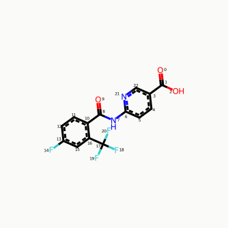 O=C(O)c1ccc(NC(=O)c2ccc(F)cc2C(F)(F)F)nc1